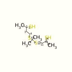 CC(S)CCSC(C)(C)SCCC(C)S